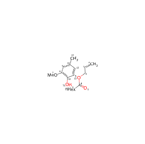 C=CCOC(=O)CCCCCC.COc1cc(C)ccc1O